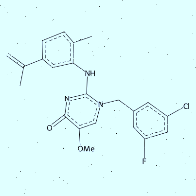 C=C(C)c1ccc(C)c(Nc2nc(=O)c(OC)cn2Cc2cc(F)cc(Cl)c2)c1